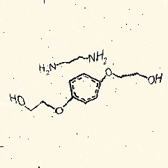 NCCN.OCCOc1ccc(OCCO)cc1